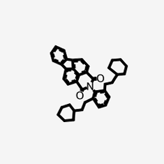 O=C1c2ccc3c4c(ccc(c24)C(=O)N1c1c(CCC2CCCCC2)cccc1CCC1CCCCC1)-c1ccccc1-3